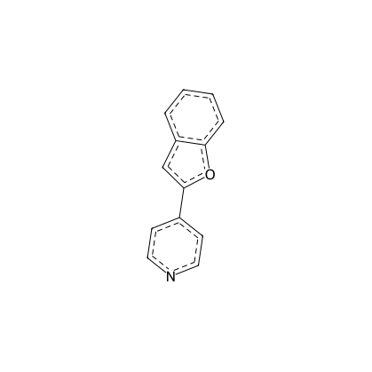 c1ccc2oc(-c3ccncc3)cc2c1